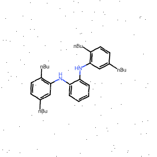 CCCCc1ccc(CCCC)c(Nc2ccccc2Nc2cc(CCCC)ccc2CCCC)c1